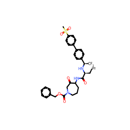 CC(C)C[C@H](N[C@@H](c1ccc(-c2ccc(S(C)(=O)=O)cc2)cc1)C(F)(F)F)C(=O)NC1CCCN(C(=O)OCc2ccccc2)CC1=O